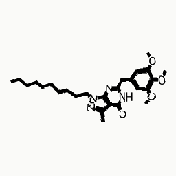 CCCCCCCCCCn1nc(C)c2c(=O)[nH]c(Cc3cc(OC)c(OC)c(OC)c3)nc21